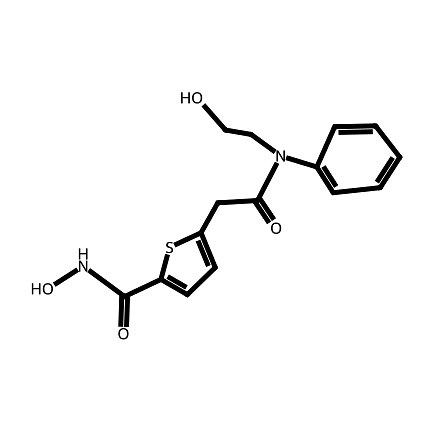 O=C(NO)c1ccc(CC(=O)N(CCO)c2ccccc2)s1